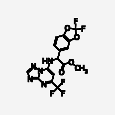 COC(=O)C(Nc1cc(C(F)(F)F)nc2ncnn12)c1ccc2c(c1)OC(F)(F)O2